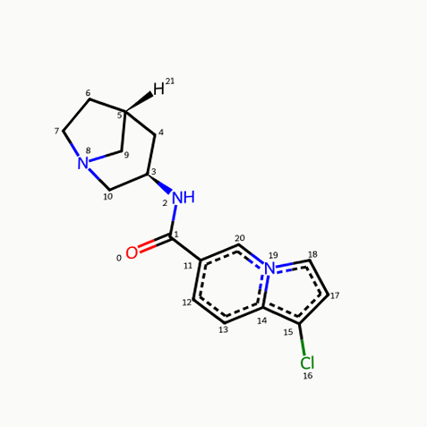 O=C(N[C@@H]1C[C@H]2CCN(C2)C1)c1ccc2c(Cl)ccn2c1